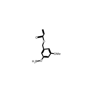 BOc1cc(COC(=O)C=C)cc(OC)c1